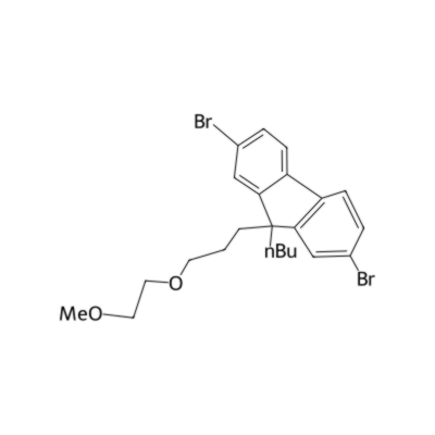 CCCCC1(CCCOCCOC)c2cc(Br)ccc2-c2ccc(Br)cc21